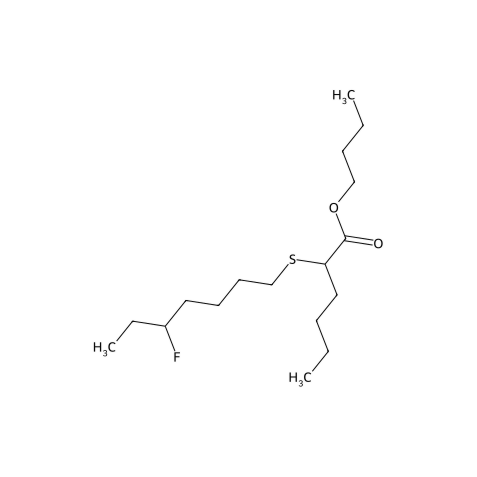 CCCCOC(=O)C(CCCC)SCCCCC(F)CC